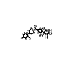 Cc1cnc(C2CCN(C(=O)c3ccc([C@@]4(C(C)C)NC(=O)NC4=O)cc3)CC2)c(C)c1